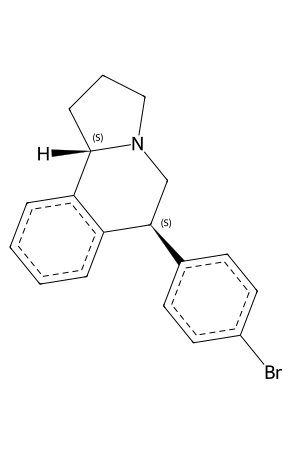 Brc1ccc([C@@H]2CN3CCC[C@H]3c3ccccc32)cc1